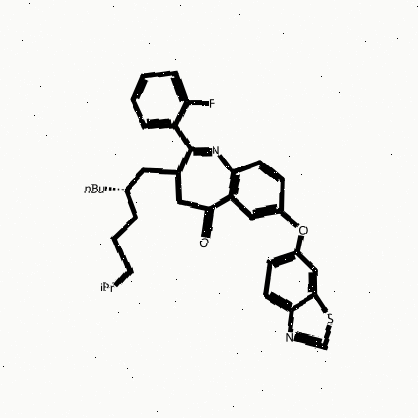 CCCC[C@@H](CCCC(C)C)CC1CC(=O)c2cc(Oc3ccc4ncsc4c3)ccc2N=C1c1ccccc1F